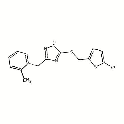 Cc1ccccc1Cc1n[nH]c(SCc2ccc(Cl)s2)n1